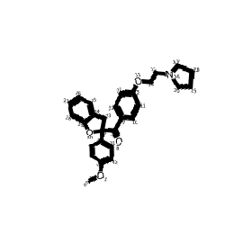 COc1ccc(C2(C(=O)c3ccc(OCCN4CCCC4)cc3)Cc3ccccc3O2)cc1